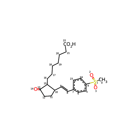 CS(=O)(=O)c1ccc(C=CC2CCC(=O)C2CCCCCCC(=O)O)cc1